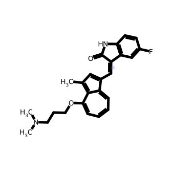 Cc1cc(/C=C2\C(=O)Nc3ccc(F)cc32)c2ccccc(OCCCN(C)C)c1-2